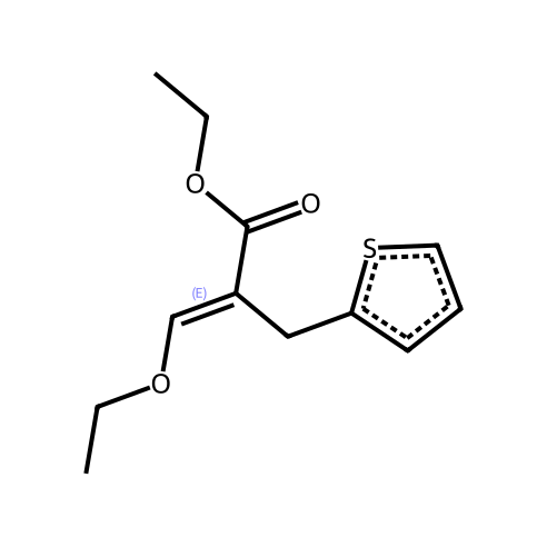 CCO/C=C(\Cc1cccs1)C(=O)OCC